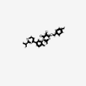 Cc1ccc(-c2ccnc(C(C)C)n2)cc1-n1c(C)nc(OCc2ccc(F)cc2)c(Cl)c1=O